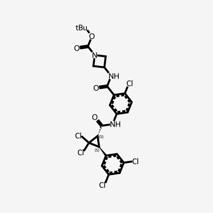 CC(C)(C)OC(=O)N1CC(NC(=O)c2cc(NC(=O)[C@@H]3[C@@H](c4cc(Cl)cc(Cl)c4)C3(Cl)Cl)ccc2Cl)C1